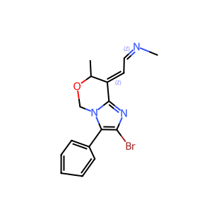 C/N=C\C=C1\c2nc(Br)c(-c3ccccc3)n2COC1C